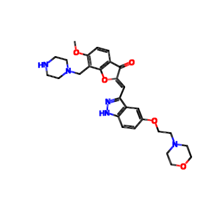 COc1ccc2c(c1CN1CCNCC1)O/C(=C\c1n[nH]c3ccc(OCCN4CCOCC4)cc13)C2=O